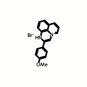 COc1ccc(C2=C[n+]3cccc4cccc(c43)N2)cc1.[Br-]